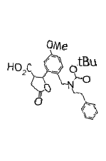 COc1ccc(CN(CCc2ccccc2)C(=O)OC(C)(C)C)c(C2OC(=O)CC2C(=O)O)c1